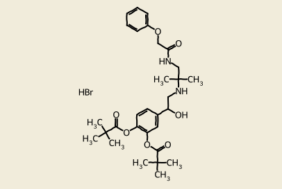 Br.CC(C)(CNC(=O)COc1ccccc1)NCC(O)c1ccc(OC(=O)C(C)(C)C)c(OC(=O)C(C)(C)C)c1